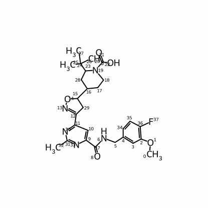 COc1cc(CNC(=O)c2cc(C3=NOC(C4CCN(C(=O)O)C(C(C)(C)C)C4)C3)nc(C)n2)ccc1F